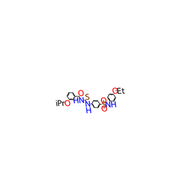 CCOc1ccc(NS(=O)(=O)c2ccc(NC(=S)NC(=O)c3cccc(OC(C)C)c3)cc2)cc1